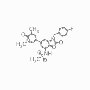 Cc1cc(-c2cc(NS(C)(=O)=O)c3oc(=O)n(Cc4ccc(F)cc4)c3c2)cn(C)c1=O